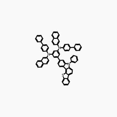 c1ccc(-c2ccc(N(c3cc(-c4ccc5c6c7sc8ccccc8c7ccc6n(-c6ccccc6)c5c4)cc(N(c4ccc(-c5ccccc5)cc4)c4ccc5ccccc5c4)c3)c3ccc4ccccc4c3)cc2)cc1